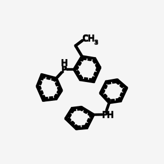 CCc1ccccc1Pc1ccccc1.c1ccc(Pc2ccccc2)cc1